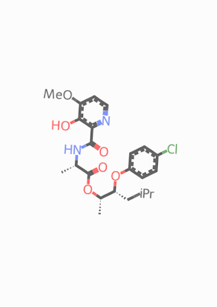 COc1ccnc(C(=O)N[C@@H](C)C(=O)O[C@@H](C)[C@@H](CC(C)C)Oc2ccc(Cl)cc2)c1O